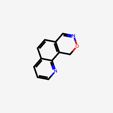 C1=NOCc2c1ccc1cccnc21